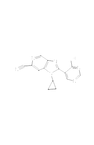 Cc1ncncc1-c1nc2cnc(C#N)cc2n1C1CC1